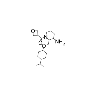 CC(C)C1CCC(OCC2C(N)CCCN2C(=O)C2COC2)CC1